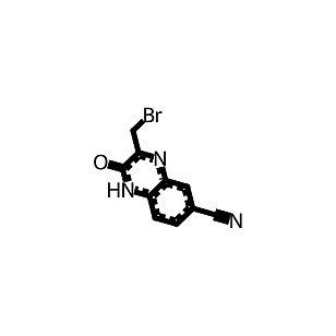 N#Cc1ccc2[nH]c(=O)c(CBr)nc2c1